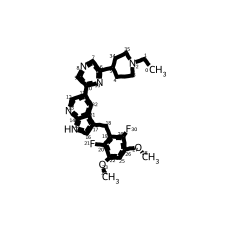 CCN1CCC(c2cncc(-c3cnc4[nH]cc(Cc5c(F)c(OC)cc(OC)c5F)c4c3)n2)CC1